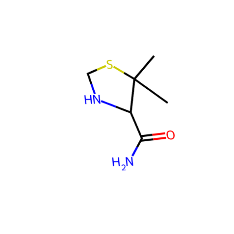 CC1(C)SCNC1C(N)=O